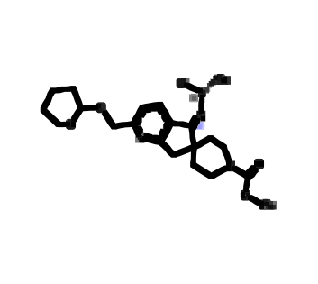 CC(C)(C)OC(=O)N1CCC2(CC1)Cc1nc(COC3CCCCO3)ccc1/C2=N\[S@+]([O-])C(C)(C)C